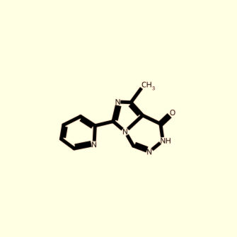 Cc1nc(-c2ccccn2)n2cn[nH]c(=O)c12